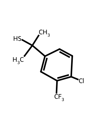 CC(C)(S)c1ccc(Cl)c(C(F)(F)F)c1